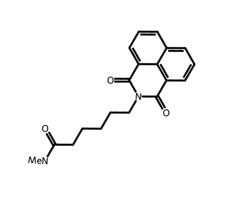 CNC(=O)CCCCCN1C(=O)c2cccc3cccc(c23)C1=O